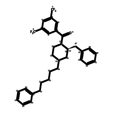 O=C(c1cc(C(F)(F)F)cc(C(F)(F)F)c1)N1CCN(CCCCCc2ccccc2)C[C@H]1Cc1ccccc1